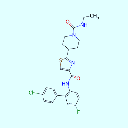 CCNC(=O)N1CCC(c2nc(C(=O)Nc3ccc(F)cc3-c3ccc(Cl)cc3)cs2)CC1